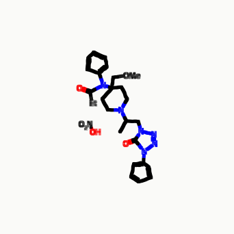 CCC(=O)N(c1ccccc1)C1(COC)CCN(C(C)Cn2nnn(-c3ccccc3)c2=O)CC1.O=[N+]([O-])O